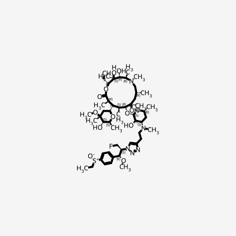 CC[C@H]1OC(=O)[C@H](C)[C@@H](C2C[C@@](C)(OC)[C@@H](O)[C@H](C)O2)[C@H](C)[C@@H](O[C@@H]2O[C@H](C)C[C@H](N(C)CCc3cn([C@H](CF)[C@H](OC)c4ccc([S+]([O-])CC)cc4)nn3)[C@H]2O)[C@](C)(O)C[C@@H](C)CN(C)[C@H](C)[C@@H](O)[C@]1(C)O